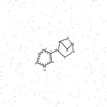 c1cnc(N2CCN3CC2C3)cn1